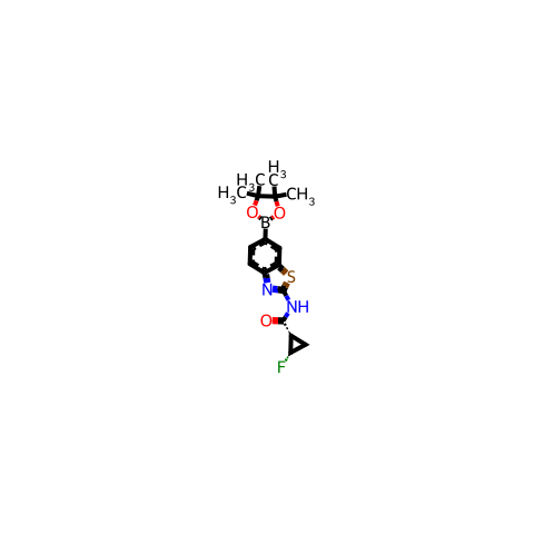 CC1(C)OB(c2ccc3nc(NC(=O)[C@@H]4C[C@@H]4F)sc3c2)OC1(C)C